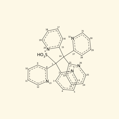 O=S(=O)(O)C(c1ccccn1)(c1ccccn1)C(c1ccccn1)(c1ccccn1)c1ccccn1